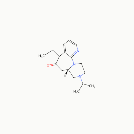 CCC1C(=O)C[C@H]2CN(C(C)C)CCN2c2ncccc21